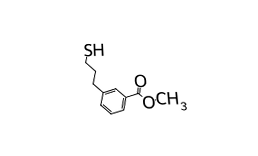 COC(=O)c1cccc(CCCS)c1